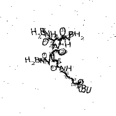 BNC(=O)CN(CC(=O)NCCCCCC(=O)C(C)(C)C)CC(=O)N1CC(C(=O)NB)CC(C(=O)NB)C1